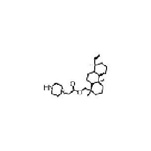 C=C[C@@]1(C)CCC=C2C1CCC1C(C)(COC(=O)CN3CCNCC3)CCC[C@@]21C